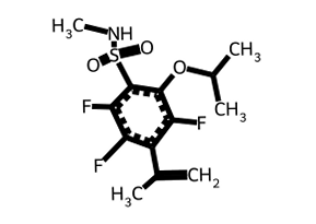 C=C(C)c1c(F)c(F)c(S(=O)(=O)NC)c(OC(C)C)c1F